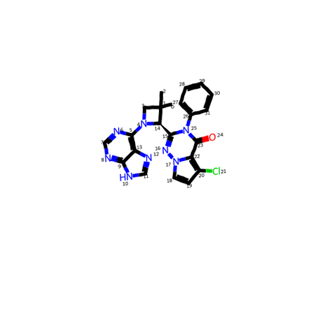 CC1(C)CN(c2ncnc3[nH]cnc23)[C@@H]1c1nn2ccc(Cl)c2c(=O)n1-c1ccccc1